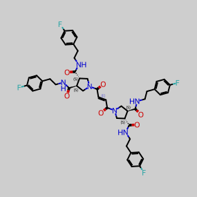 O=C(NCCc1ccc(F)cc1)[C@@H]1CN(C(=O)/C=C/C(=O)N2C[C@@H](C(=O)NCCc3ccc(F)cc3)[C@H](C(=O)NCCc3ccc(F)cc3)C2)C[C@H]1C(=O)NCCc1ccc(F)cc1